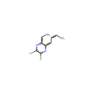 C\C=C/C=c1/nc(Cl)c(Cl)n/c1=C/C